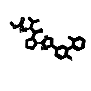 COC(=O)N[C@H](C(=O)N1CCC[C@H]1c1ncc(-c2ccc(I)c(-c3ccccc3C)c2)[nH]1)C(C)C